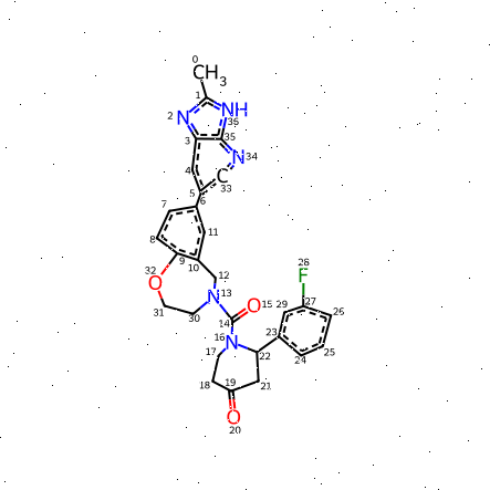 Cc1nc2cc(-c3ccc4c(c3)CN(C(=O)N3CCC(=O)CC3c3cccc(F)c3)CCO4)cnc2[nH]1